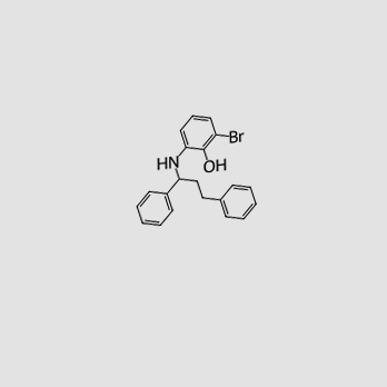 Oc1c(Br)cccc1NC(CCc1ccccc1)c1ccccc1